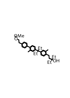 CCC(O)(CC)CCc1ccc(C(CC)(CC)c2ccc(-c3ccc(CCOOC)cc3)c(C)c2)cc1C